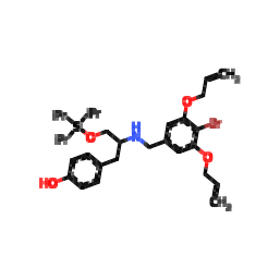 C=CCOc1cc(CNC(CO[Si](C(C)C)(C(C)C)C(C)C)Cc2ccc(O)cc2)cc(OCC=C)c1Br